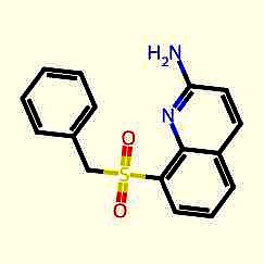 Nc1ccc2cccc(S(=O)(=O)Cc3ccccc3)c2n1